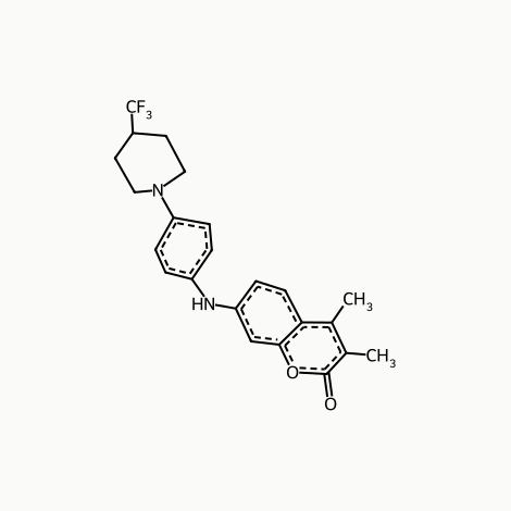 Cc1c(C)c2ccc(Nc3ccc(N4CCC(C(F)(F)F)CC4)cc3)cc2oc1=O